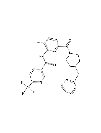 Cc1ccc(C(=O)N2CCC(Cc3ccccc3)CC2)cc1NC(=O)c1ccc(C(F)(F)F)nc1